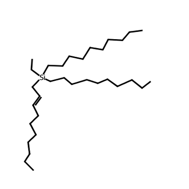 CCCCCCCC=CC[Si](CC)(CCCCCCCCCC)CCCCCCCCCC